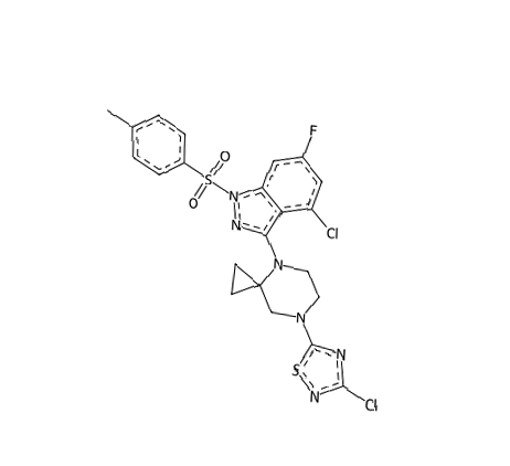 Cc1ccc(S(=O)(=O)n2nc(N3CCN(c4nc(Cl)ns4)CC34CC4)c3c(Cl)cc(F)cc32)cc1